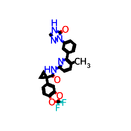 Cc1ccc(NC(=O)C2(c3ccc4c(c3)OC(F)(F)O4)CC2)nc1-c1cccc(-n2nc[nH]c2=O)c1